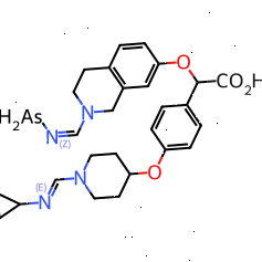 O=C(O)C(Oc1ccc2c(c1)CN(/C=N\[AsH2])CC2)c1ccc(OC2CCN(/C=N/C3CC3)CC2)cc1